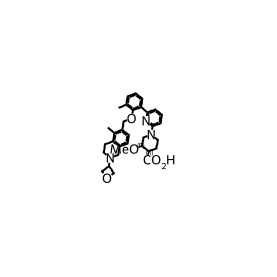 CO[C@H]1CN(c2cccc(-c3cccc(C)c3OCc3ccc4c(c3C)CCN(C3COC3)C4)n2)CC[C@H]1C(=O)O